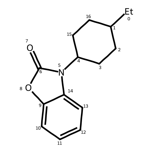 CCC1CCC(n2c(=O)oc3ccccc32)CC1